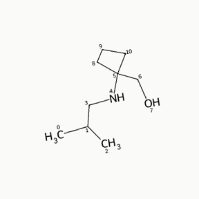 CC(C)CNC1(CO)CCC1